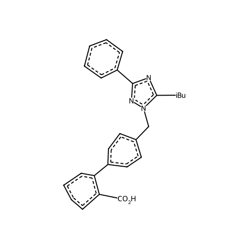 CCC(C)c1nc(-c2ccccc2)nn1Cc1ccc(-c2ccccc2C(=O)O)cc1